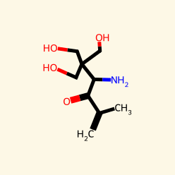 C=C(C)C(=O)C(N)C(CO)(CO)CO